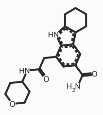 NC(=O)c1cc(CC(=O)NC2CCOCC2)c2[nH]c3c(c2c1)CCCC3